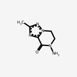 Cc1nc2n(n1)CCN(N)C2=O